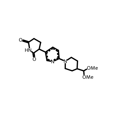 COC(OC)C1CCN(c2ccc(C3CCC(=O)NC3=O)cn2)CC1